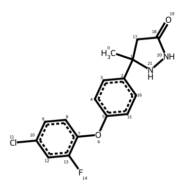 CC1(c2ccc(Oc3ccc(Cl)cc3F)cc2)CC(=O)NN1